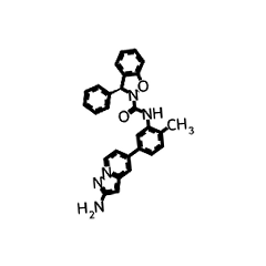 Cc1ccc(-c2ccn3nc(N)cc3c2)cc1NC(=O)N1Oc2ccccc2[C@@H]1c1ccccc1